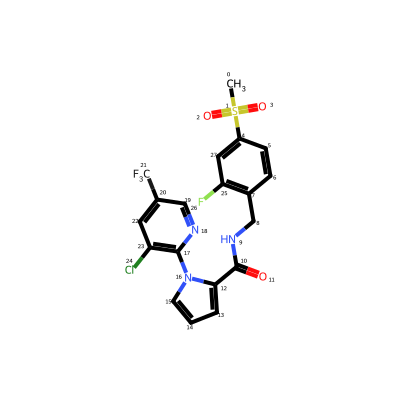 CS(=O)(=O)c1ccc(CNC(=O)c2cccn2-c2ncc(C(F)(F)F)cc2Cl)c(F)c1